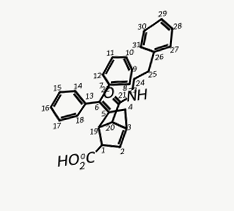 O=C(O)C1C=C2CC(=C(c3ccccc3)c3ccccc3)C1C2C(=O)NCCc1ccccc1